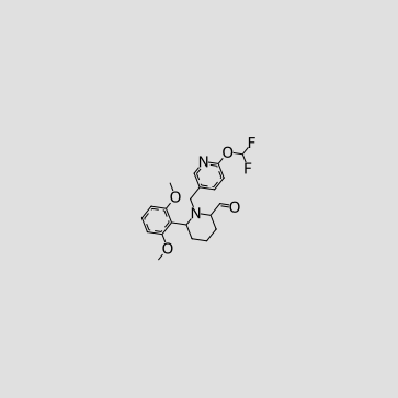 COc1cccc(OC)c1C1CCCC(C=O)N1Cc1ccc(OC(F)F)nc1